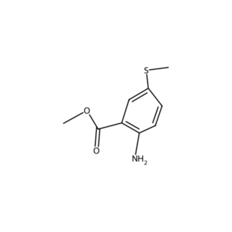 COC(=O)c1cc(SC)ccc1N